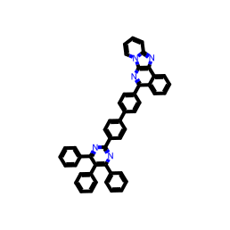 c1ccc(-c2nc(-c3ccc(-c4ccc(-c5nc6c(nc7ccccn76)c6ccccc56)cc4)cc3)nc(-c3ccccc3)c2-c2ccccc2)cc1